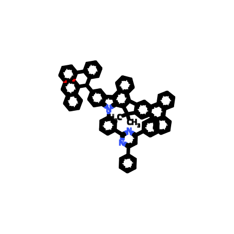 CC1(C)c2cc3c4ccccc4c4ccccc4c3cc2-c2c1c1c(c3ccccc23)c2cc(C(c3ccccc3-c3ccccc3)c3cccc4ccccc34)ccc2n1-c1cccc(-c2nc(-c3ccccc3)cc(-c3ccccc3)n2)c1